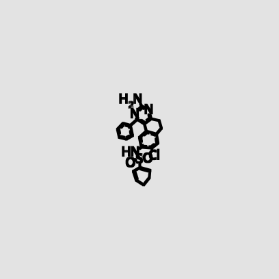 Nc1nc2c(c(-c3ccccc3)n1)-c1cc(NS(=O)(=O)C3=CCCC=C3)c(Cl)cc1CC2